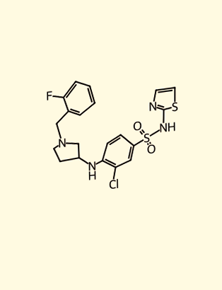 O=S(=O)(Nc1nccs1)c1ccc(NC2CCN(Cc3ccccc3F)C2)c(Cl)c1